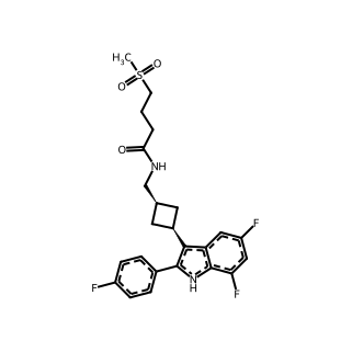 CS(=O)(=O)CCCC(=O)NC[C@H]1C[C@@H](c2c(-c3ccc(F)cc3)[nH]c3c(F)cc(F)cc32)C1